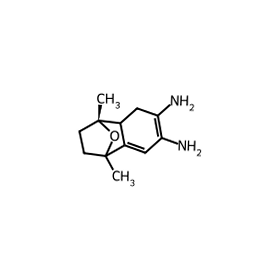 CC12CC[C@@](C)(O1)C1CC(N)=C(N)C=C12